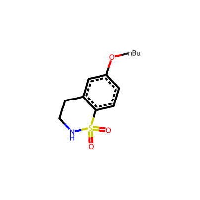 CCCCOc1ccc2c(c1)CCNS2(=O)=O